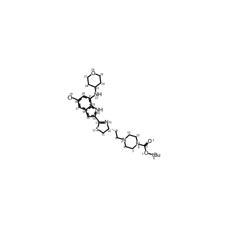 CC(C)(C)OC(=O)N1CCN(CC[C@@H]2CSC(c3cc4cc(Cl)cc(NC5CCOCC5)c4[nH]3)=N2)CC1